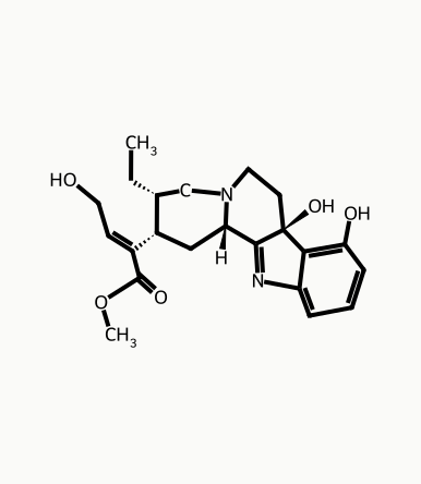 CC[C@@H]1CN2CC[C@@]3(O)C(=Nc4cccc(O)c43)[C@@H]2C[C@@H]1/C(=C\CO)C(=O)OC